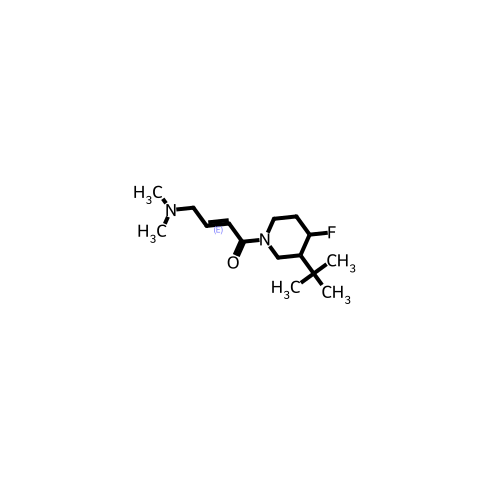 CN(C)C/C=C/C(=O)N1CCC(F)C(C(C)(C)C)C1